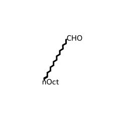 CCCCCCCCC=CCCCCCCCCCCCCCC=O